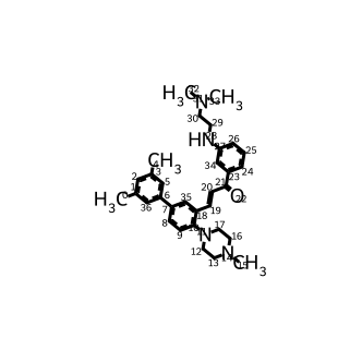 Cc1cc(C)cc(-c2ccc(N3CCN(C)CC3)c(C=CC(=O)c3cccc(NCCN(C)C)c3)c2)c1